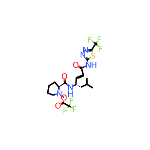 CC(C)C[C@@H](/C=C/C(=O)Nc1nnc(C(F)(F)F)s1)NC(=O)[C@@H]1CCCCN1OC(=O)C(F)(F)F